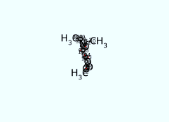 CCCCC(=O)N(Cc1ccc(-c2ccc(OCC(=O)OCC)cc2)cc1)c1cccc(C)c1